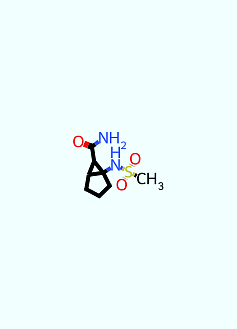 CS(=O)(=O)NC12CCCC1C2C(N)=O